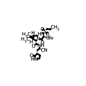 C=CCS(=O)(=O)N[C@H](C(=O)N1C[C@H]2[C@@H]([C@H]1C(=O)N[C@H](C#N)C[C@@H]1CCNC1=O)C2(C)C)C(C)(C)C